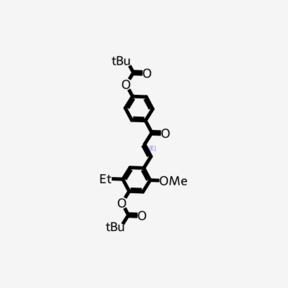 CCc1cc(/C=C/C(=O)c2ccc(OC(=O)C(C)(C)C)cc2)c(OC)cc1OC(=O)C(C)(C)C